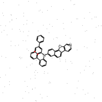 c1ccc(-c2cccc(N(c3ccc4c(ccc5c6ccncc6oc45)c3)c3ccccc3-c3ccccc3)c2)cc1